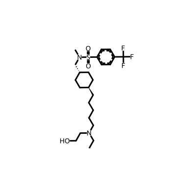 CCN(CCO)CCCCC[C@H]1CC[C@H](CN(C)S(=O)(=O)c2ccc(C(F)(F)F)cc2)CC1